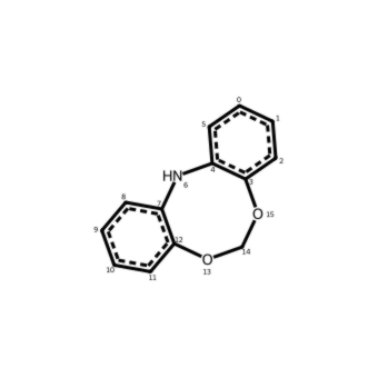 c1ccc2c(c1)Nc1ccccc1OCO2